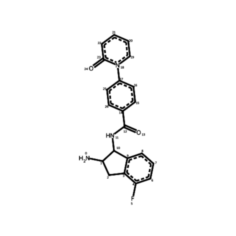 NC1Cc2c(F)cccc2C1NC(=O)c1ccc(-n2ccccc2=O)cc1